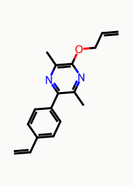 C=CCOc1nc(C)c(-c2ccc(C=C)cc2)nc1C